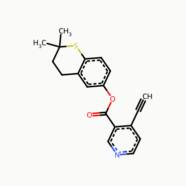 C#Cc1ccncc1C(=O)Oc1ccc2c(c1)CCC(C)(C)S2